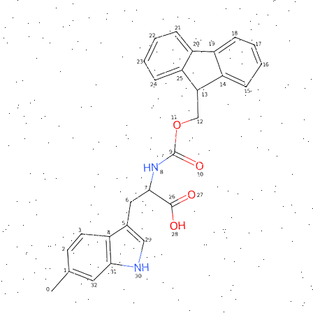 Cc1ccc2c(CC(NC(=O)OCC3c4ccccc4-c4ccccc43)C(=O)O)c[nH]c2c1